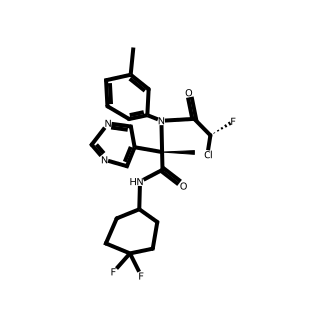 Cc1cccc(N(C(=O)[C@H](F)Cl)[C@](C)(C(=O)NC2CCC(F)(F)CC2)c2cncnc2)c1